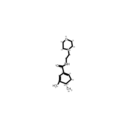 CC1=CC(C(=O)NCCN2CCOCC2)=CC[C@@H]1C